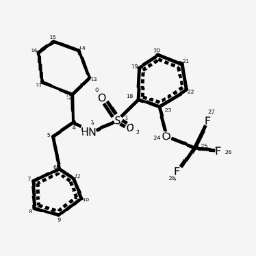 O=S(=O)(NC(Cc1ccccc1)C1CCCCC1)c1ccccc1OC(F)(F)F